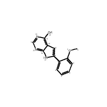 COc1ccccc1-c1cc2c(O)ncnc2[nH]1